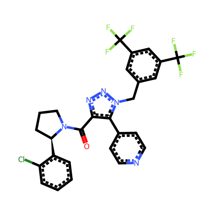 O=C(c1nnn(Cc2cc(C(F)(F)F)cc(C(F)(F)F)c2)c1-c1ccncc1)N1CCC[C@@H]1c1ccccc1Cl